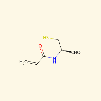 C=CC(=O)N[C@H]([C]=O)CS